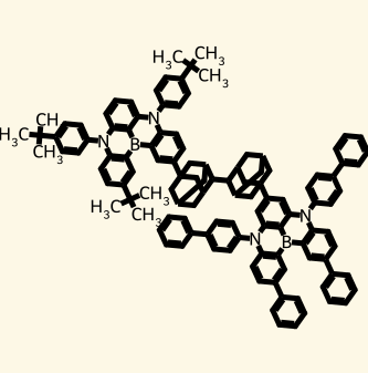 CC(C)(C)c1ccc(N2c3ccc(C(C)(C)C)cc3B3c4cc(C56CC7CC(C5)C(C5C8CC9CC5CC(c5cc%10c%11c(c5)N(c5ccc(-c%12ccccc%12)cc5)c5ccc(-c%12ccccc%12)cc5B%11c5cc(-c%11ccccc%11)ccc5N%10c5ccc(-c%10ccccc%10)cc5)(C9)C8)C(C7)C6)ccc4N(c4ccc(C(C)(C)C)cc4)c4cccc2c43)cc1